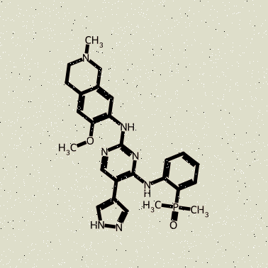 COc1cc2c(cc1Nc1ncc(-c3cn[nH]c3)c(Nc3ccccc3P(C)(C)=O)n1)CN(C)CC2